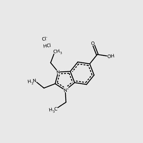 CCn1c(CN)[n+](CC)c2ccc(C(=O)O)cc21.Cl.[Cl-]